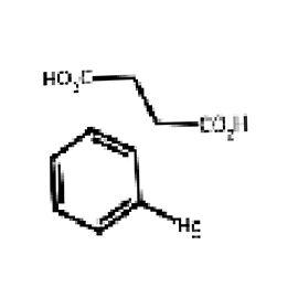 O=C(O)CCC(=O)O.[Hg][c]1ccccc1